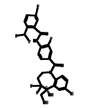 O=C(Nc1ccc(C(=O)N2CCC(F)(F)[C@](O)(CO)c3cc(Cl)ccc32)cc1F)c1cc(F)ccc1C(F)F